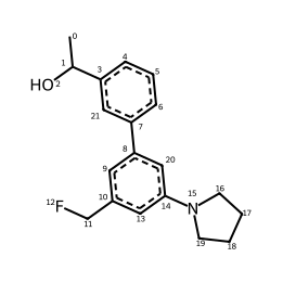 CC(O)c1cccc(-c2cc(CF)cc(N3CCCC3)c2)c1